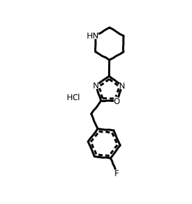 Cl.Fc1ccc(Cc2nc(C3CCCNC3)no2)cc1